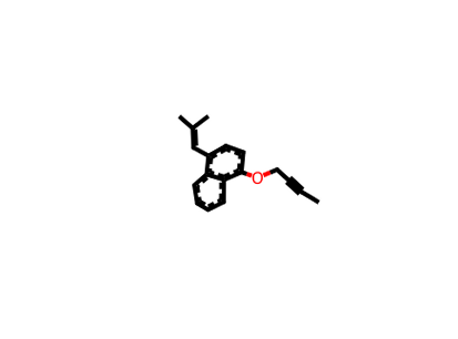 CC#CCOc1ccc(C=C(C)C)c2ccccc12